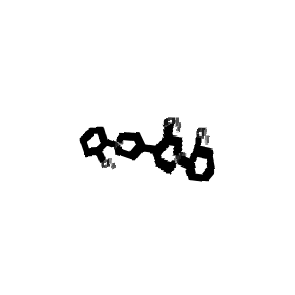 Cc1c[n+](-c2ccccc2C(F)(F)F)ccc1-c1cc[n+](-c2ccccc2C(F)(F)F)cc1